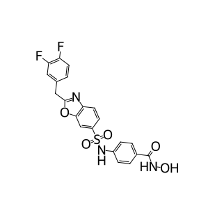 O=C(NO)c1ccc(NS(=O)(=O)c2ccc3nc(Cc4ccc(F)c(F)c4)oc3c2)cc1